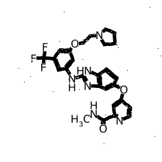 CNC(=O)c1cc(Oc2ccc3[nH]c(Nc4cc(OCCN5CCCC5)cc(C(F)(F)F)c4)nc3c2)ccn1